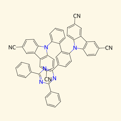 N#Cc1ccc2c(c1)c1cc(C#N)ccc1n2-c1ccccc1-c1cc(-c2nc(-c3ccccc3)nc(-c3ccccc3)n2)ccc1-n1c2ccc(C#N)cc2c2cc(C#N)ccc21